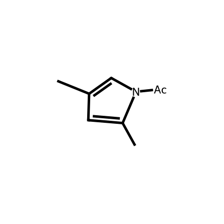 CC(=O)n1cc(C)cc1C